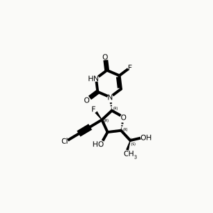 C[C@H](O)[C@H]1O[C@@H](n2cc(F)c(=O)[nH]c2=O)[C@@](F)(C#CCl)C1O